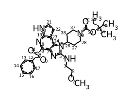 COCCNc1nc2c(S(=O)(=O)c3ccccc3)nc3[nH]ccc3c2n1C1CCN(C(=O)OC(C)(C)C)CC1